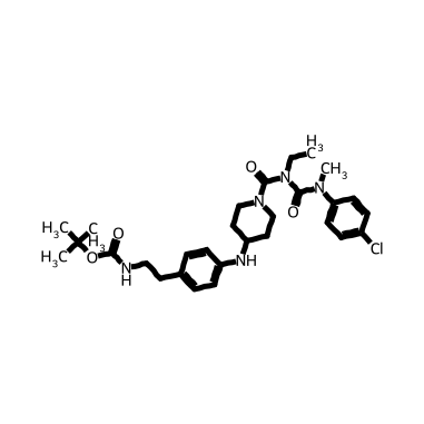 CCN(C(=O)N1CCC(Nc2ccc(CCNC(=O)OC(C)(C)C)cc2)CC1)C(=O)N(C)c1ccc(Cl)cc1